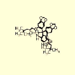 CC(C)(C)C[C@@H](O)COc1cc2c(cc1C1(c3cc4c(cc3OC[C@H](O)CC(C)(C)C)OCO4)C(=O)Nc3ccc(Br)cc31)OCO2